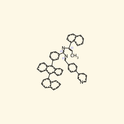 C\C=C(/N=C(\N=C\c1ccc(-c2cccnc2)cc1)c1cccc(-c2c3ccccc3c(-c3cccc4ccccc34)c3ccccc23)c1)c1cccc2ccccc12